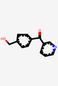 O=C(c1ccc(CO)cc1)c1cccnc1